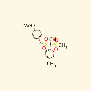 COc1ccc([CH]S(=O)(=O)C(C)(c2ccc(C)cc2)S(C)(=O)=O)cc1